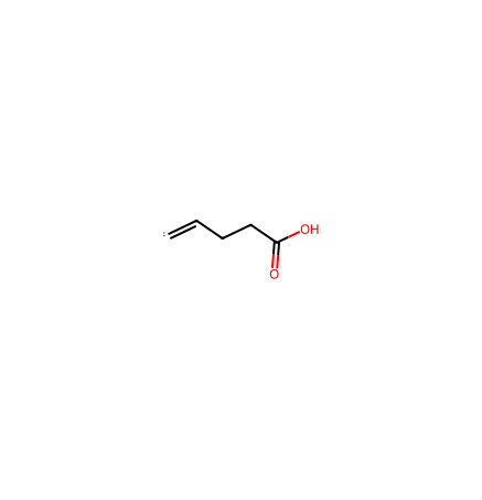 [C]=CCCC(=O)O